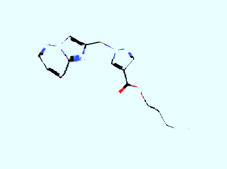 COCCCOC(=O)c1cnn(Cc2cn3ncccc3n2)c1